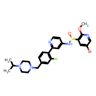 COc1ncc(Br)cc1[S+]([O-])Nc1ccnc(-c2ccc(CN3CCN(C(C)C)CC3)cc2F)c1